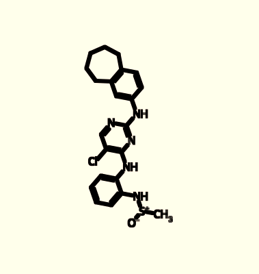 C[S+]([O-])Nc1ccccc1Nc1nc(Nc2ccc3c(c2)CCCCC3)ncc1Cl